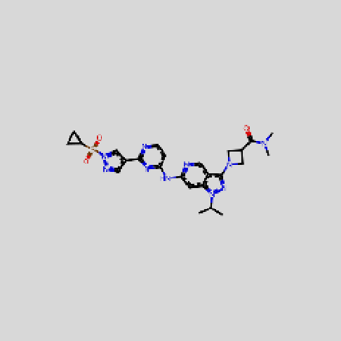 CC(C)n1nc(N2CC(C(=O)N(C)C)C2)c2cnc(Nc3ccnc(-c4cnn(S(=O)(=O)C5CC5)c4)n3)cc21